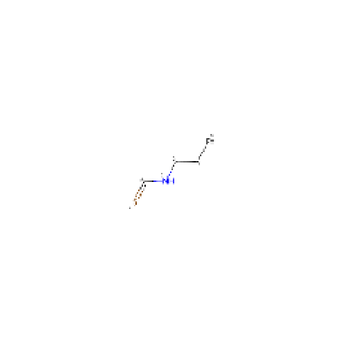 CCCCN[C]=S